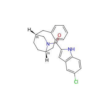 O=C(c1cc2cc(Cl)ccc2[nH]1)N1C[C@@H]2CC[C@H]1Cc1ccccc1C2